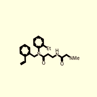 C=Cc1ccccc1CN(C(=O)CCNC(=O)CNC)c1ccccc1CC